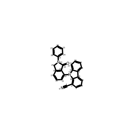 N#Cc1cccc2c3ccccc3n(-c3cccc4c3C(=O)N(c3ccccc3)C4)c12